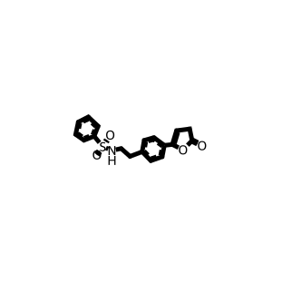 O=C1CC=C(c2ccc(CCNS(=O)(=O)c3ccccc3)cc2)O1